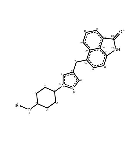 CC(C)(C)OC1CCC(n2cc(Cc3ccc4c5c(cccc35)C(=O)N4)cn2)CC1